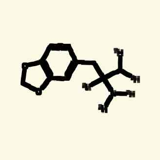 [2H]C([2H])C([2H])(Cc1ccc2c(c1)OCO2)N([2H])[2H]